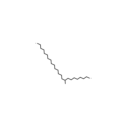 [CH2]CCCCCCCCCCCCCCC(C)CCCCCCC[CH2]